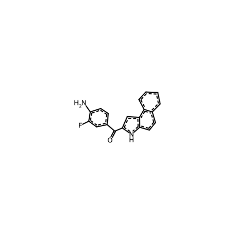 Nc1ccc(C(=O)c2cc3c(ccc4ccccc43)[nH]2)cc1F